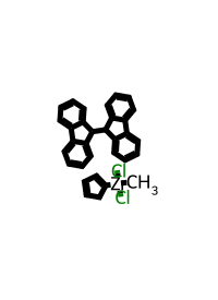 [CH3][Zr]([Cl])([Cl])[C]1=CC=CC1.c1ccc2c(c1)-c1ccccc1C2C1c2ccccc2-c2ccccc21